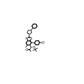 CC(=O)[C@@H](OC(C)(C)C)c1c(C)cc2nc(N3CCC(c4ccccc4)C3)sc2c1-c1ccc(Cl)cc1